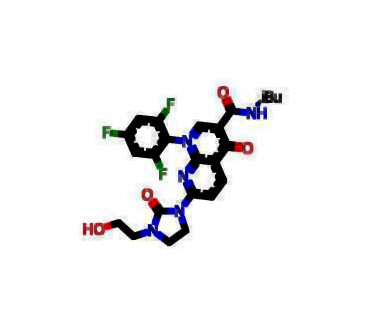 CC[C@@H](C)NC(=O)c1cn(-c2c(F)cc(F)cc2F)c2nc(N3CCN(CCO)C3=O)ccc2c1=O